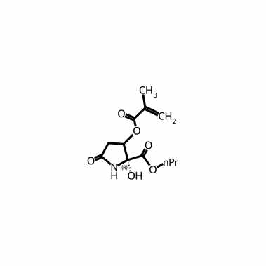 C=C(C)C(=O)OC1CC(=O)N[C@]1(O)C(=O)OCCC